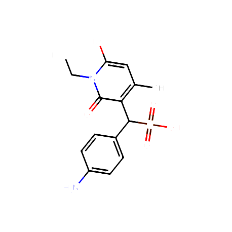 CCn1c(O)cc(C)c(C(c2ccc(N)cc2)S(=O)(=O)O)c1=O